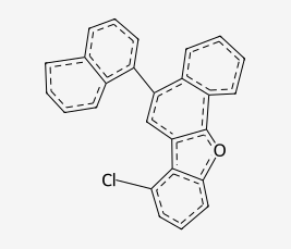 Clc1cccc2oc3c4ccccc4c(-c4cccc5ccccc45)cc3c12